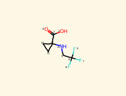 O=C(O)C1(NCC(F)(F)F)CC1